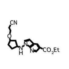 CCOC(=O)c1cnc2c(ccn2NC2CCC(OCCC#N)C2)c1